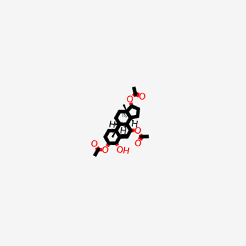 CC(=O)OC1CC[C@@]2(C)C(=CC(OC(C)=O)[C@@H]3[C@H]2CC[C@]2(C)C(OC(C)=O)CC[C@@H]32)C1O